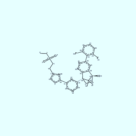 CCS(=O)(=O)CCn1ccc(-c2cncc([C@]34CC[C@@H](c5cc(-c6c(F)cccc6F)nnc53)C4(C)C)n2)n1